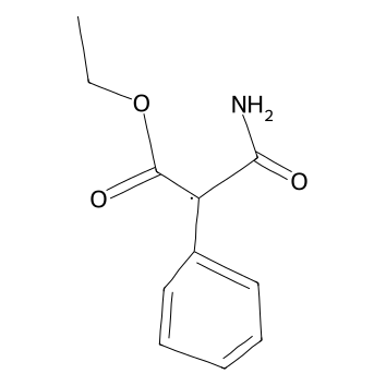 CCOC(=O)[C](C(N)=O)c1ccccc1